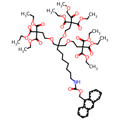 CCOC(=O)C(CCOCC(CCCCCCCNC(=O)OCc1c2ccccc2cc2ccccc12)(COCCC(C(=O)OCC)(C(=O)OCC)C(=O)OCC)COCCC(C(=O)OCC)(C(=O)OCC)C(=O)OCC)(C(=O)COC)C(=O)OCC